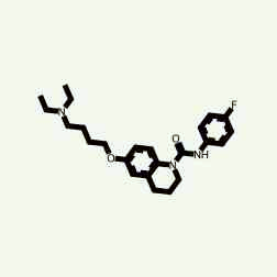 CCN(CC)CCCCOc1ccc2c(c1)CCCN2C(=O)Nc1ccc(F)cc1